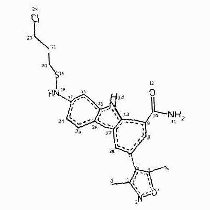 Cc1noc(C)c1-c1cc(C(N)=O)c2[nH]c3cc(NSCCCCl)ccc3c2c1